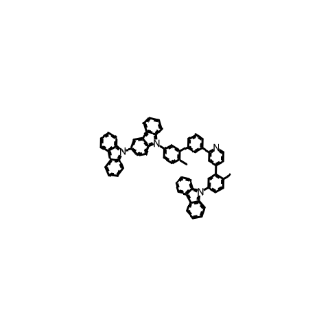 Cc1ccc(-n2c3ccccc3c3ccccc32)cc1-c1ccnc(-c2cccc(-c3cc(-n4c5ccccc5c5cc(-n6c7ccccc7c7ccccc76)ccc54)ccc3C)c2)c1